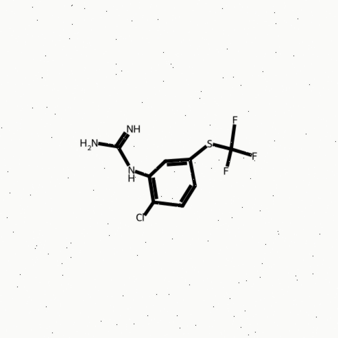 N=C(N)Nc1cc(SC(F)(F)F)ccc1Cl